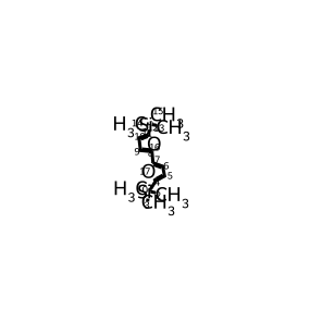 C[Si](C)(C)c1ccc(-c2ccc([Si](C)(C)C)o2)o1